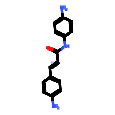 Nc1ccc(/C=C/C(=O)Nc2ccc(N)cc2)cc1